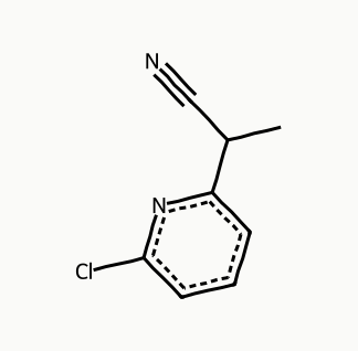 CC(C#N)c1cccc(Cl)n1